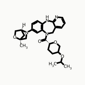 CC(C)OC1CC[C@H](C(=O)N2Cc3cccnc3Nc3ccc(N4C[C@]5(C)C[C@H]4CO5)cc32)OC1